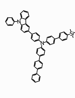 C[Si](C)(C)c1ccc(-c2ccc(N(c3ccc(-c4ccc(-c5ccccc5)cc4)cc3)c3ccc(-c4ccc5c(c4)c4ccccc4n5-c4ccccc4)cc3)cc2)cc1